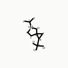 CC(C)N1CCC2(CC2C(C)(C)C)C1